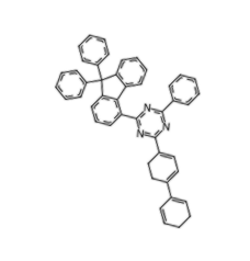 C1=CC(C2=CC=C(c3nc(-c4ccccc4)nc(-c4cccc5c4-c4ccccc4C5(c4ccccc4)c4ccccc4)n3)CC2)=CCC1